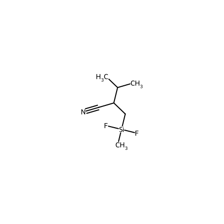 CC(C)C(C#N)C[Si](C)(F)F